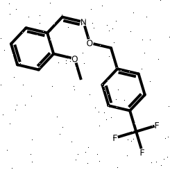 COc1ccccc1/[C]=N\OCc1ccc(C(F)(F)F)cc1